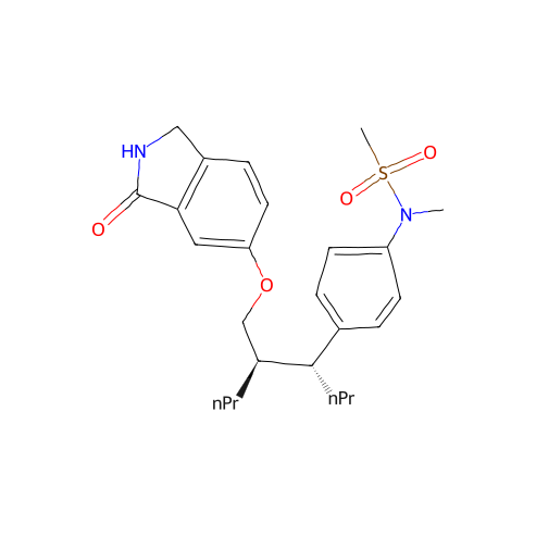 CCC[C@@H](COc1ccc2c(c1)C(=O)NC2)[C@@H](CCC)c1ccc(N(C)S(C)(=O)=O)cc1